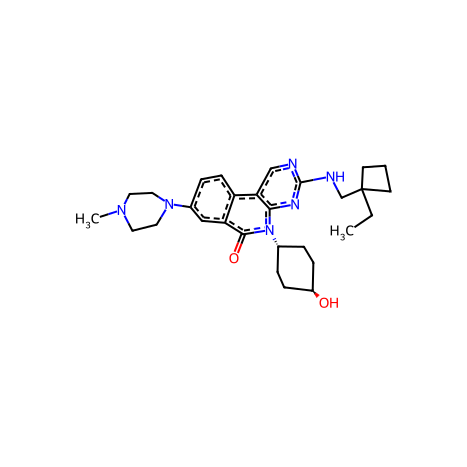 CCC1(CNc2ncc3c4ccc(N5CCN(C)CC5)cc4c(=O)n([C@H]4CC[C@H](O)CC4)c3n2)CCC1